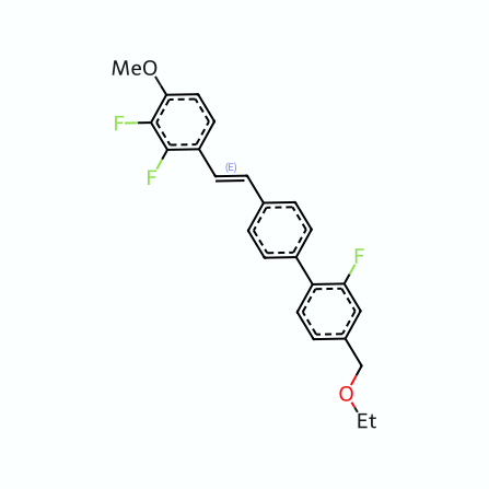 CCOCc1ccc(-c2ccc(/C=C/c3ccc(OC)c(F)c3F)cc2)c(F)c1